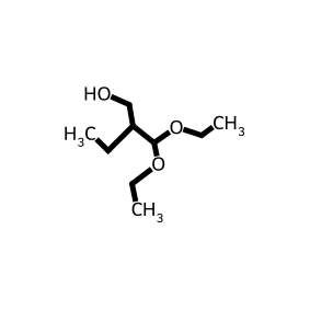 CCOC(OCC)C(CC)CO